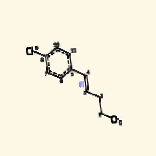 [O]CC/C=C/c1ccc(Cl)cc1